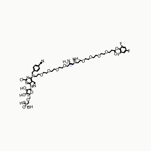 N#Cc1ccc(CN(CCOCCOCCOCCOC/C(N)=C/N(N)CCOCCOCCOCCOCCC(=O)Oc2c(F)cc(F)cc2F)c2nc(Cl)nc3c2cnn3[C@@H]2O[C@H](COCP(=O)(O)O)[C@@H](O)[C@H]2O)cc1